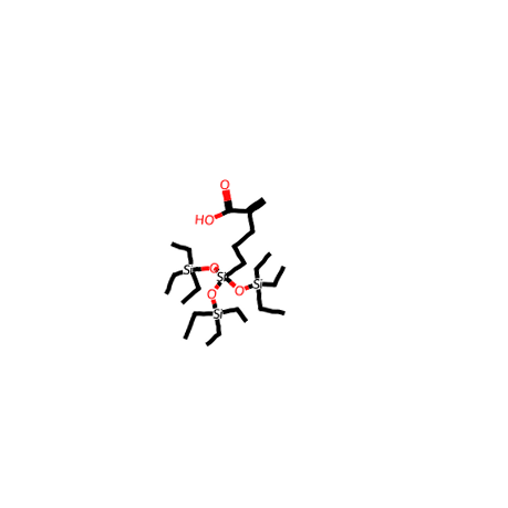 C=C(CCC[Si](O[Si](CC)(CC)CC)(O[Si](CC)(CC)CC)O[Si](CC)(CC)CC)C(=O)O